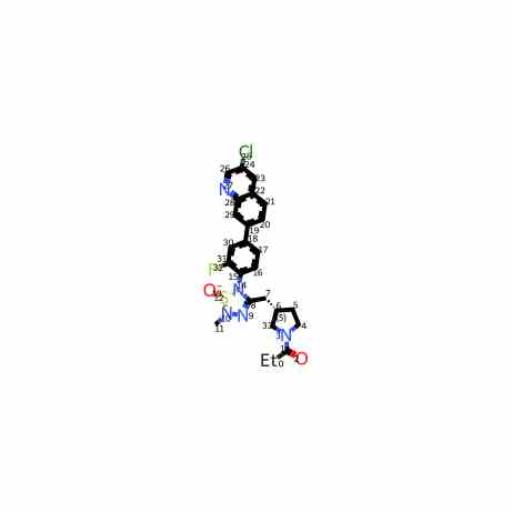 CCC(=O)N1CC[C@@H](CC2=NN(C)[S+]([O-])N2c2ccc(-c3ccc4cc(Cl)cnc4c3)cc2F)C1